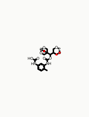 Cc1ccc(NC(=O)O)cc1NC(=O)OC(C12COP(OC1)OC2)C12COP(OC1)OC2